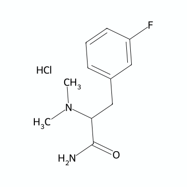 CN(C)C(Cc1cccc(F)c1)C(N)=O.Cl